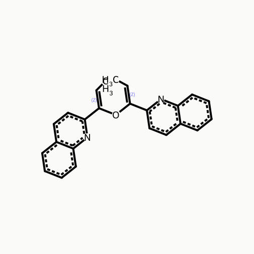 C/C=C(\O/C(=C\C)c1ccc2ccccc2n1)c1ccc2ccccc2n1